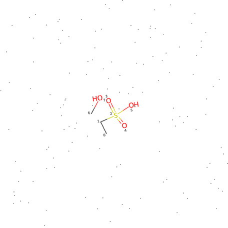 CCS(=O)(=O)O.CO